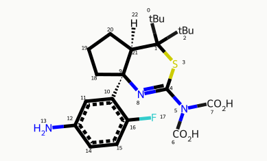 CC(C)(C)C1(C(C)(C)C)SC(N(C(=O)O)C(=O)O)=N[C@@]2(c3cc(N)ccc3F)CCC[C@@H]12